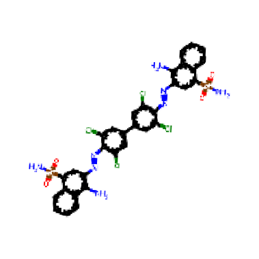 Nc1c(/N=N/c2c(Cl)cc(-c3cc(Cl)c(/N=N/c4cc(S(N)(=O)=O)c5ccccc5c4N)c(Cl)c3)cc2Cl)cc(S(N)(=O)=O)c2ccccc12